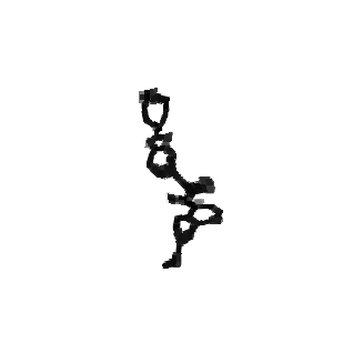 COc1ccc2c(c1)OCC[C@@H]2NC(=O)c1ccc2nc(N3CCNCC3)sc2c1